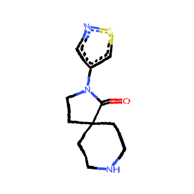 O=C1N(c2cnsc2)CCC12CCNCC2